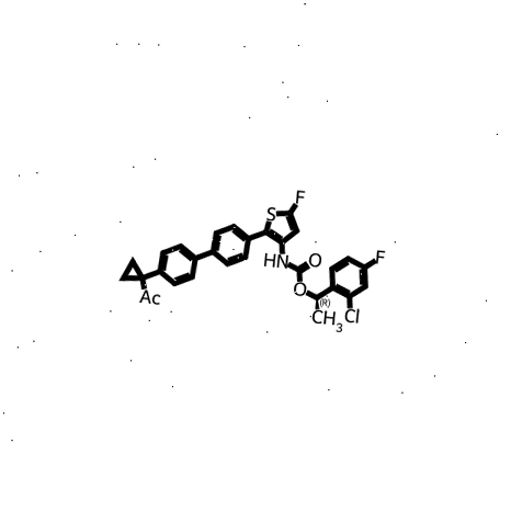 CC(=O)C1(c2ccc(-c3ccc(-c4sc(F)cc4NC(=O)O[C@H](C)c4ccc(F)cc4Cl)cc3)cc2)CC1